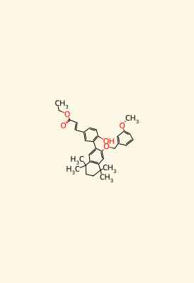 CCOC(=O)C=Cc1ccc(O)c(-c2cc3c(cc2OCc2cccc(OC)c2)C(C)(C)CCC3(C)C)c1